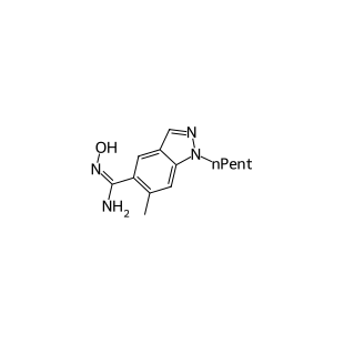 CCCCCn1ncc2cc(/C(N)=N\O)c(C)cc21